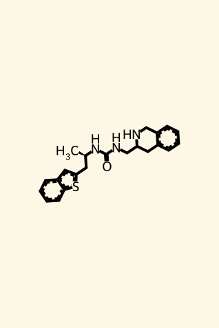 C[C@H](Cc1cc2ccccc2s1)NC(=O)NCC1Cc2ccccc2CN1